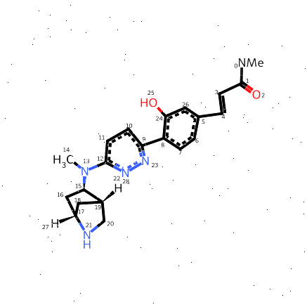 CNC(=O)/C=C/c1ccc(-c2ccc(N(C)[C@@H]3C[C@@H]4C[C@H]3CN4)nn2)c(O)c1